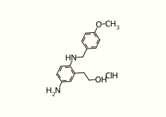 COc1ccc(CNc2ccc(N)cc2CCO)cc1.Cl